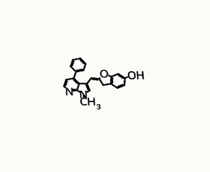 Cn1cc(C=C2Cc3ccc(O)cc3O2)c2c(-c3ccccc3)ccnc21